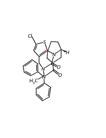 CCN(Cc1csc(Cl)c1)C(=O)N1C2CC[C@@H]1CN(C(=O)N(c1ccccc1)c1ccccc1)C2